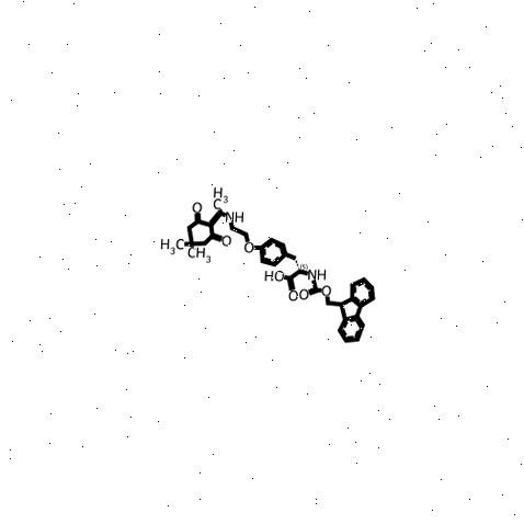 CC(NCCOc1ccc(C[C@H](NC(=O)OCC2c3ccccc3-c3ccccc32)C(=O)O)cc1)=C1C(=O)CC(C)(C)CC1=O